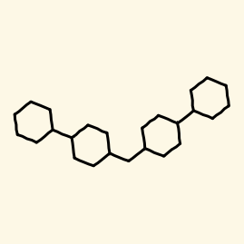 C1CCC([C]2CC[C](C[C]3CC[C](C4CCCCC4)CC3)CC2)CC1